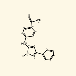 Cn1nc(-c2ccccc2)cc1Nc1ccc(C(=O)O)cc1